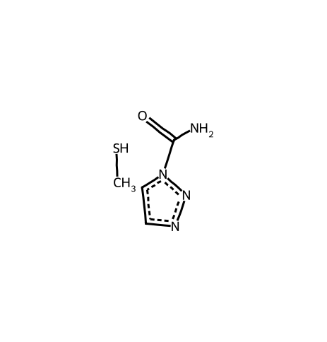 CS.NC(=O)n1ccnn1